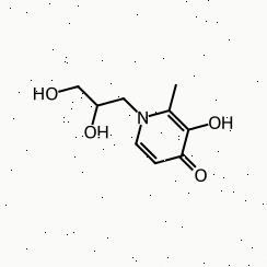 Cc1c(O)c(=O)ccn1CC(O)CO